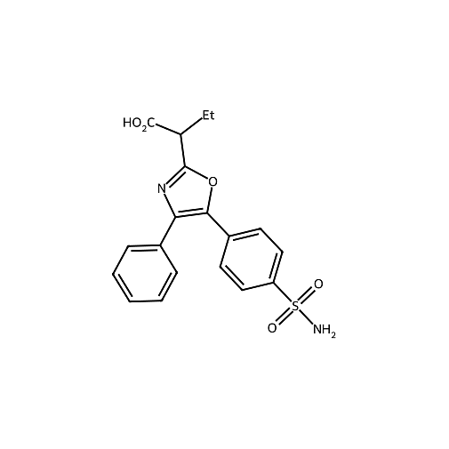 CCC(C(=O)O)c1nc(-c2ccccc2)c(-c2ccc(S(N)(=O)=O)cc2)o1